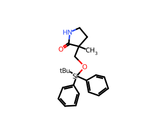 CC1(CO[Si](c2ccccc2)(c2ccccc2)C(C)(C)C)CCNC1=O